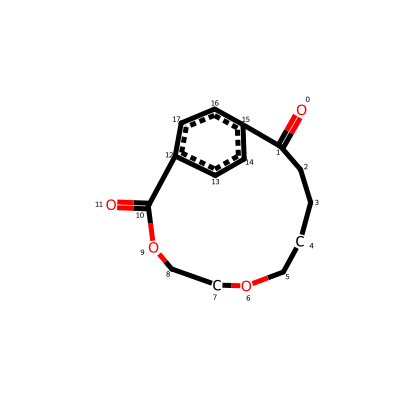 O=C1CCCCOCCOC(=O)c2ccc1cc2